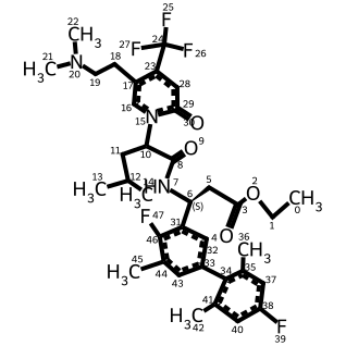 CCOC(=O)C[C@H](NC(=O)C(CC(C)C)n1cc(CCN(C)C)c(C(F)(F)F)cc1=O)c1cc(-c2c(C)cc(F)cc2C)cc(C)c1F